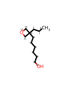 CCCC1(CCCCCCO)COC1